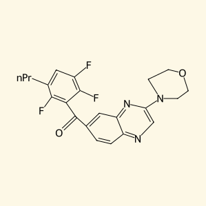 CCCc1cc(F)c(F)c(C(=O)c2ccc3ncc(N4CCOCC4)nc3c2)c1F